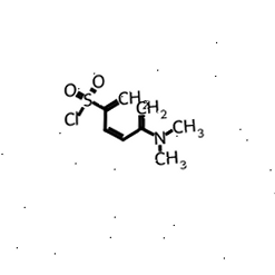 C=C(/C=C\C(=C)S(=O)(=O)Cl)N(C)C